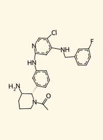 CC(=O)N1CCCC(N)[C@@H]1c1cccc(Nc2cc(NCc3cccc(F)c3)c(Cl)cn2)c1